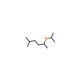 CC(C)CCC(C)SC(C)C